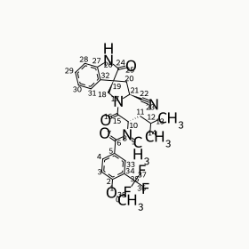 COc1ccc(C(=O)N(C)[C@@H](CC(C)C)C(=O)N2C[C@]3(C[C@H]2C#N)C(=O)Nc2ccccc23)cc1C(F)(F)F